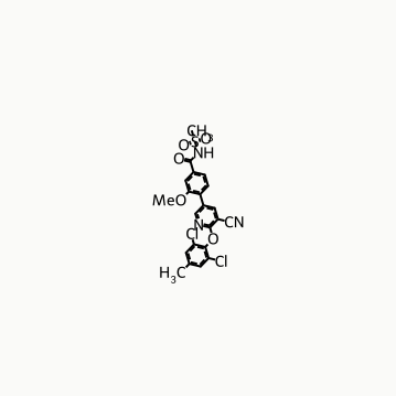 COc1cc(C(=O)NS(C)(=O)=O)ccc1-c1cnc(Oc2c(Cl)cc(C)cc2Cl)c(C#N)c1